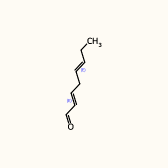 CC/C=C/C/C=C/C=O